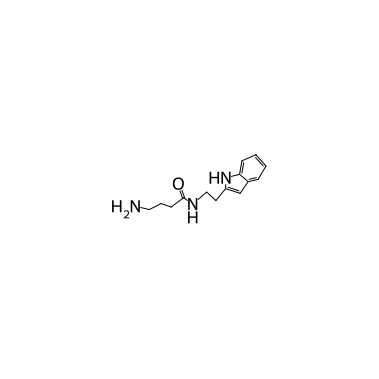 NCCCC(=O)NCCc1cc2ccccc2[nH]1